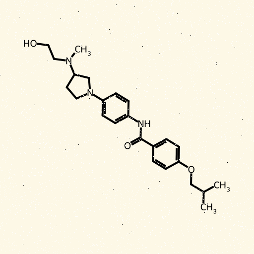 CC(C)COc1ccc(C(=O)Nc2ccc(N3CCC(N(C)CCO)C3)cc2)cc1